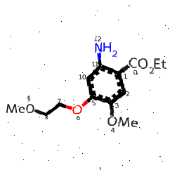 CCOC(=O)c1cc(OC)c(OCCOC)cc1N